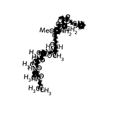 C=C1CC(C2OCCN2C(=O)OCCSSc2ccccn2)N(C(=O)c2cc(OC)c(OCCCC(=O)Nc3cn(C)c(C(=O)Nc4cc(C(=O)Nc5cc(C(=O)Nc6cc(C(=O)NCCCN(C)C)n(C)c6)n(C)c5)n(C)c4)n3)cc2N)C1